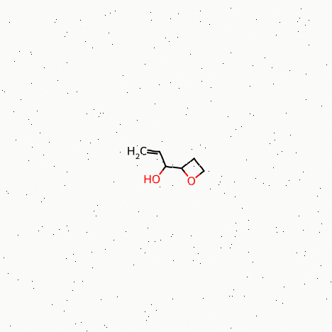 C=CC(O)C1CCO1